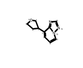 c1cc(C2CCOC2)c2ncnn2c1